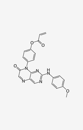 C=CC(=O)Oc1ccc(-n2c(=O)cnc3cnc(Nc4ccc(OC)cc4)nc32)cc1